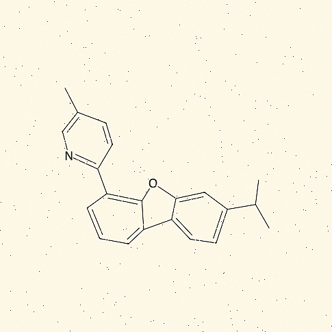 Cc1ccc(-c2cccc3c2oc2cc(C(C)C)ccc23)nc1